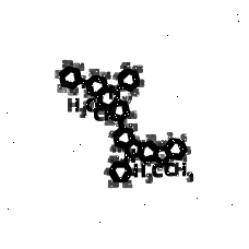 CC1(C)c2ccccc2-c2cc3c4cc(-c5ccc6c(c5)C(C)(C)c5cc(-c7ccccc7)ccc5N6c5ccccc5)ccc4n(-c4ccccc4)c3cc21